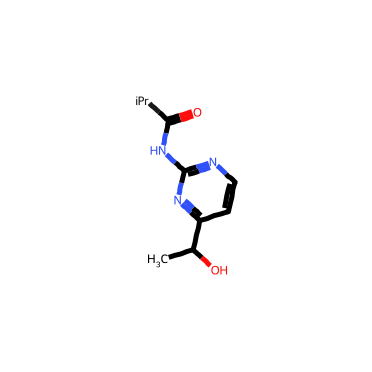 CC(C)C(=O)Nc1nccc(C(C)O)n1